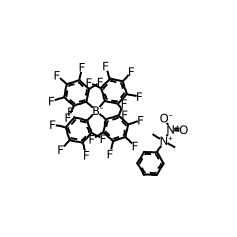 C[N+](C)(c1ccccc1)[N+](=O)[O-].Fc1c(F)c(F)c([B-](c2c(F)c(F)c(F)c(F)c2F)(c2c(F)c(F)c(F)c(F)c2F)c2c(F)c(F)c(F)c(F)c2F)c(F)c1F